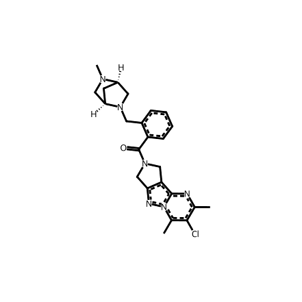 Cc1nc2c3c(nn2c(C)c1Cl)CN(C(=O)c1ccccc1CN1C[C@H]2C[C@@H]1CN2C)C3